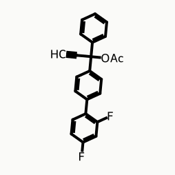 C#CC(OC(C)=O)(c1ccccc1)c1ccc(-c2ccc(F)cc2F)cc1